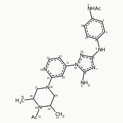 CC(=O)Nc1ccc(Nc2nc(N)n(-c3ccnc(N4CC(C)N(C(C)=O)C(C)C4)c3)n2)cc1